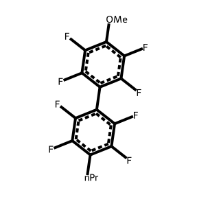 CCCc1c(F)c(F)c(-c2c(F)c(F)c(OC)c(F)c2F)c(F)c1F